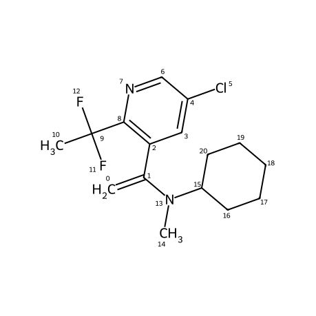 C=C(c1cc(Cl)cnc1C(C)(F)F)N(C)C1CCCCC1